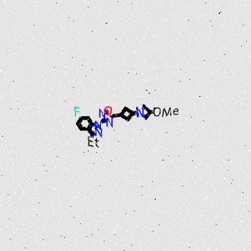 CCc1nn(-c2noc(C3CC(N4CC(OC)C4)C3)n2)c2cc(F)ccc12